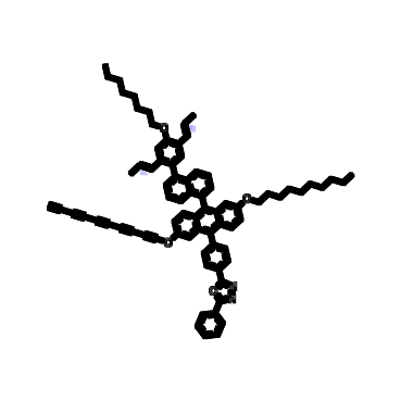 C#CC#CC#CC#CC#COc1ccc2c(-c3cccc4c(-c5cc(/C=C/C)c(OCCCCCCCC)cc5/C=C/C)cccc34)c3cc(OCCCCCCCCCC)ccc3c(-c3ccc(-c4nnc(-c5ccccc5)o4)cc3)c2c1